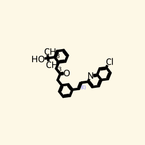 CC(C)(O)c1ccccc1CC(=O)Cc1cccc(/C=C/c2ccc3ccc(Cl)cc3n2)c1